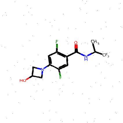 CC(NC(=O)c1cc(F)c(N2CC(O)C2)cc1F)C(F)(F)F